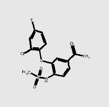 CC(=O)c1ccc(NS(C)(=O)=O)c(Oc2ccc(F)cc2Cl)c1